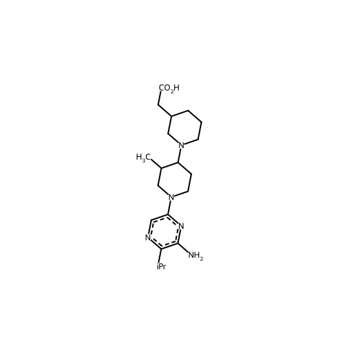 CC(C)c1ncc(N2CCC(N3CCCC(CC(=O)O)C3)C(C)C2)nc1N